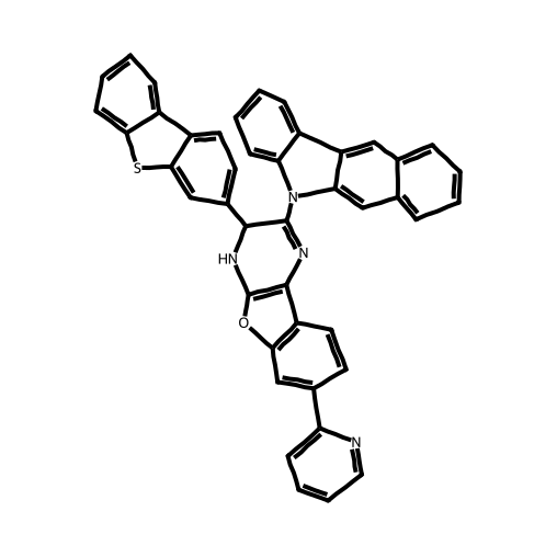 c1ccc(-c2ccc3c4c(oc3c2)NC(c2ccc3c(c2)sc2ccccc23)C(n2c3ccccc3c3cc5ccccc5cc32)=N4)nc1